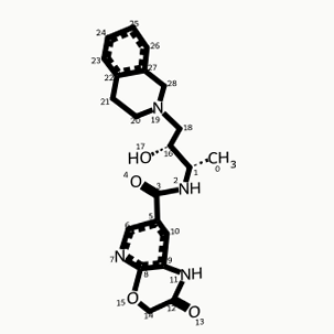 C[C@H](NC(=O)c1cnc2c(c1)NC(=O)CO2)[C@H](O)CN1CCc2ccccc2C1